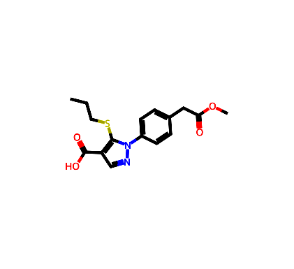 CCCSc1c(C(=O)O)cnn1-c1ccc(CC(=O)OC)cc1